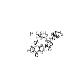 C[Si](C)(C)CCOCn1cccc1C(=O)c1ccc(N2C[C@H](COS(C)(=O)=O)OC2=O)cc1